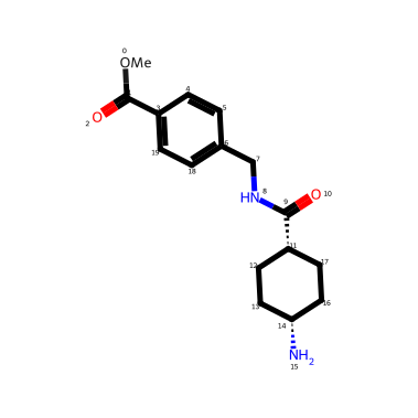 COC(=O)c1ccc(CNC(=O)[C@H]2CC[C@@H](N)CC2)cc1